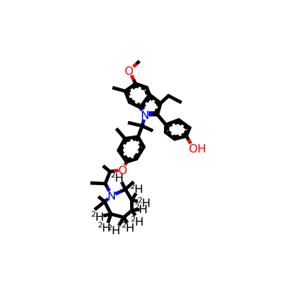 [2H]C1(C)N(C(C)C(C)Oc2ccc(C(C)(C)n3c(-c4ccc(O)cc4)c(CC)c4cc(OC)c(C)cc43)c(C)c2)C(C)(C)C([2H])([2H])C([2H])([2H])C([2H])([2H])C1([2H])[2H]